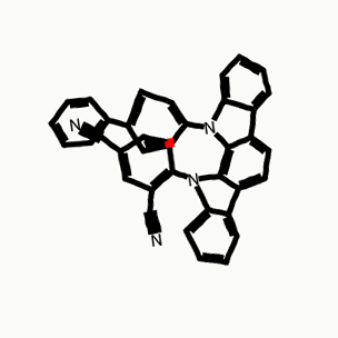 N#Cc1ccc(-n2c3ccccc3c3ccc4c5ccccc5n(-c5ccc(-c6ccccc6)cc5)c4c32)c(C#N)c1